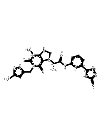 Cc1cc(Cn2c(=O)c3c(n(C)c2=O)NCN3[C@@H](C)C(=O)Nc2cccc(-c3nc(=O)o[nH]3)n2)no1